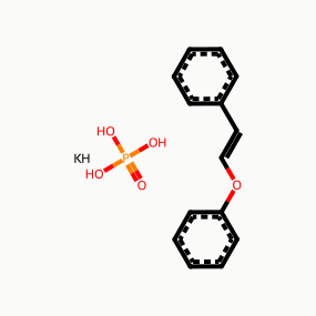 C(=Cc1ccccc1)Oc1ccccc1.O=P(O)(O)O.[KH]